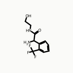 NC(C(=O)NCCO)c1ccccc1C(F)(F)F